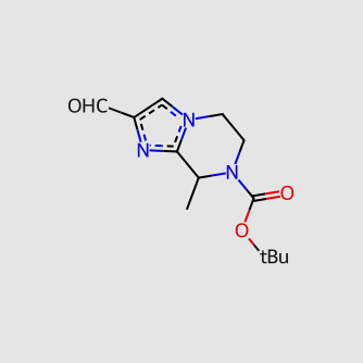 CC1c2nc(C=O)cn2CCN1C(=O)OC(C)(C)C